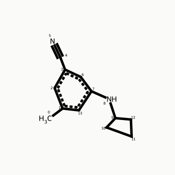 Cc1cc(C#N)cc(NC2CCC2)c1